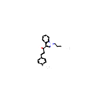 COc1ccc(/C=C/C(=O)c2cn(CCCC(=O)O)c3ccccc23)cc1